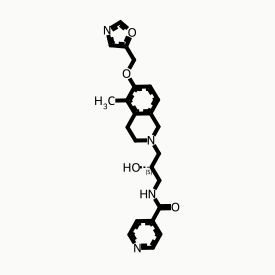 Cc1c(OCc2cnco2)ccc2c1CCN(C[C@@H](O)CNC(=O)c1ccncc1)C2